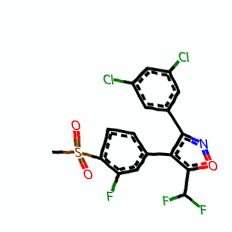 CS(=O)(=O)c1ccc(-c2c(-c3cc(Cl)cc(Cl)c3)noc2C(F)F)cc1F